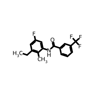 CCc1cc(F)cc(NC(=O)c2cccc(C(F)(F)F)c2)c1C